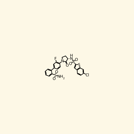 NS(=O)(=O)c1ccccc1-c1ccc(N2CC[C@H](NS(=O)(=O)c3cc4ccc(Cl)cc4s3)C2=O)c(F)c1